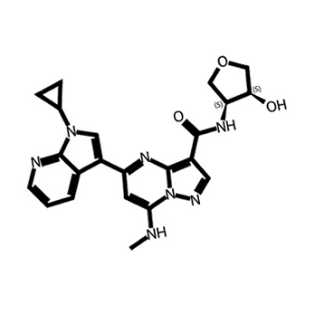 CNc1cc(-c2cn(C3CC3)c3ncccc23)nc2c(C(=O)N[C@H]3COC[C@H]3O)cnn12